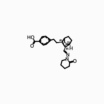 O=C(O)c1ccc(CC[C@H]2C3CC[C@H](O3)[C@H]2C=NN2CCCCC2=O)cc1